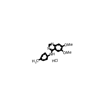 COc1cc2ncnc(Nc3ccc(C)cc3)c2cc1OC.Cl